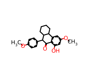 COc1ccc(C2C(=O)c3c(O)cc(OC)cc3C3CCCCC32)cc1